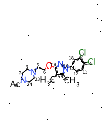 CC(=O)N1CCN(CCOc2nn(-c3ccc(Cl)c(Cl)c3)c(C)c2C)CC1